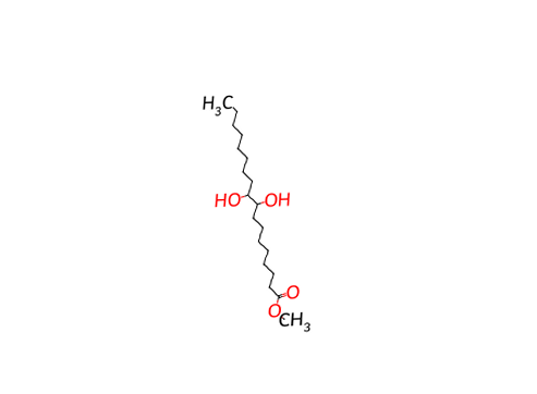 CCCCCCCCC(O)C(O)CCCCCCCC(=O)OC